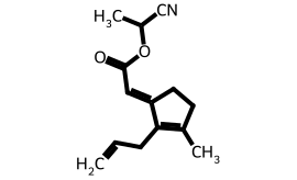 C=CCC1=C(C)CCC1=CC(=O)OC(C)C#N